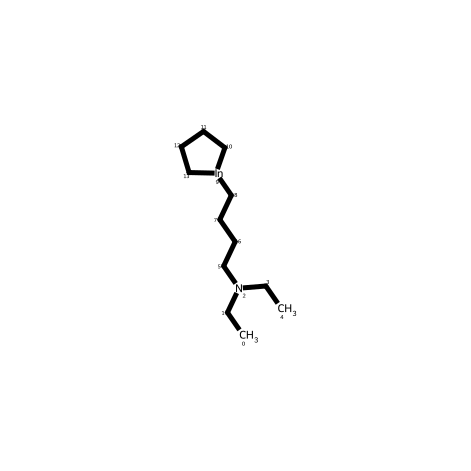 CCN(CC)CCC[CH2][In]1[CH2]CC[CH2]1